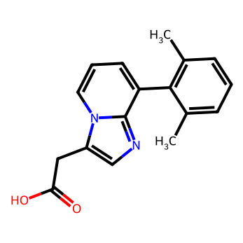 Cc1cccc(C)c1-c1cccn2c(CC(=O)O)cnc12